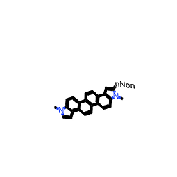 CCCCCCCCCc1cc2c3ccc4c(ccc5c4ccc4c5ccn4C)c3ccc2n1C